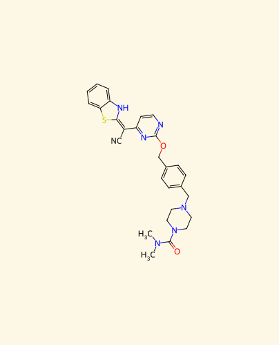 CN(C)C(=O)N1CCN(Cc2ccc(COc3nccc(/C(C#N)=C4\Nc5ccccc5S4)n3)cc2)CC1